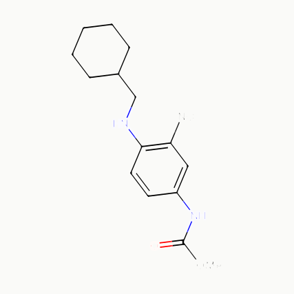 COC(=O)Nc1ccc(NCC2CCCCC2)c(N=O)c1